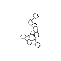 c1ccc(-c2cccc3c2sc2ccc4nc(-n5c6ccccc6c6ccc7c8ccccc8n(-c8ccccc8)c7c65)sc4c23)cc1